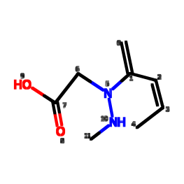 C=C(/C=C\C)N(CC(=O)O)NC